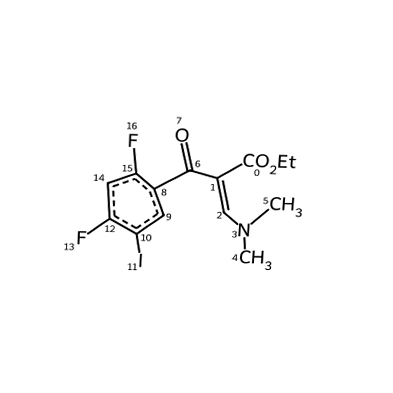 CCOC(=O)C(=CN(C)C)C(=O)c1cc(I)c(F)cc1F